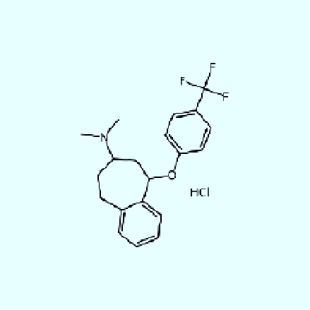 CN(C)C1CCc2ccccc2C(Oc2ccc(C(F)(F)F)cc2)C1.Cl